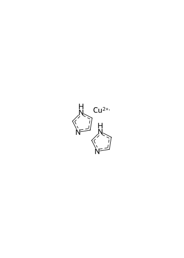 [Cu+2].c1c[nH]cn1.c1c[nH]cn1